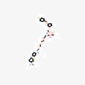 CN(CCOCCOCCOCCN(CC(O)COc1cccc(OCc2ccc(F)cc2)c1)C(=O)OC(C)(C)C)c1ccc2nc3ccc(=[N+](C)C)cc-3sc2c1